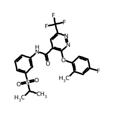 Cc1cc(F)ccc1Oc1nnc(C(F)(F)F)cc1C(=O)Nc1cccc(S(=O)(=O)C(C)C)c1